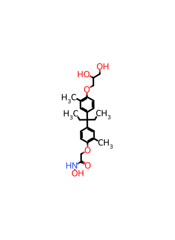 CCC(CC)(c1ccc(OCC(=O)NO)c(C)c1)c1ccc(OCC(O)CO)c(C)c1